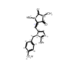 CCCCN1C(=O)N(C)C(=O)/C1=C\c1cnc(CCC)n1Cc1ccc(C(=O)O)cc1